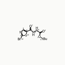 CC(C)(C)OC(=O)NNC(=O)c1cnc(Br)s1